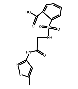 Cc1cc(NC(=O)CNS(=O)(=O)c2ccccc2C(=O)O)no1